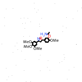 COc1ccc(C2CC(c3cc(OC)c(OC)c(OC)c3)=NO2)cc1OC(C)N